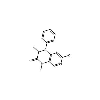 CC1C(=O)N(C)c2cnc(Cl)nc2N1c1ccccc1